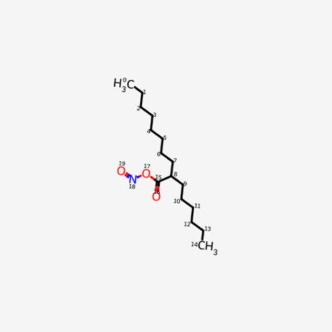 CCCCCCCCC(CCCCCC)C(=O)ON=O